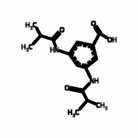 CC(C)C(=O)Nc1cc(NC(=O)C(C)C)cc(C(=O)O)c1